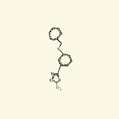 FC(F)(F)c1nc(-c2cc[c]c(SCc3ccccc3)c2)no1